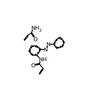 C=CC(=O)Nc1ccccc1N=Nc1ccccc1.C=CC(N)=O